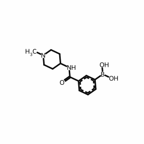 CN1CCC(NC(=O)c2cccc(B(O)O)c2)CC1